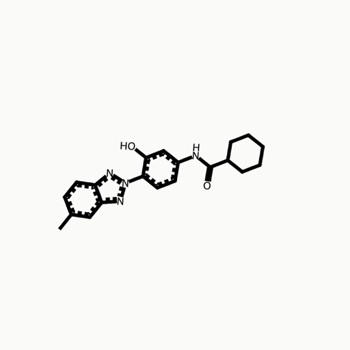 Cc1ccc2nn(-c3ccc(NC(=O)C4CCCCC4)cc3O)nc2c1